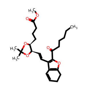 CCCCCC(=O)c1oc2c(c1/C=C/[C@H]1OC(C)(C)O[C@H]1CCCC(=O)OC)C=CCC2